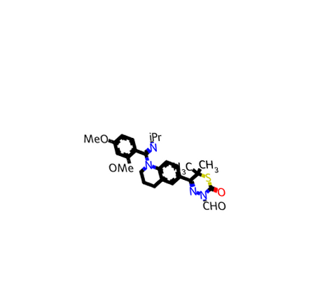 COc1ccc(C(=NC(C)C)N2CCCc3cc(C4=NN(C=O)C(=O)SC4(C)C)ccc32)c(OC)c1